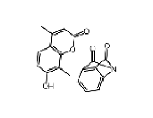 Cc1cc(=O)oc2c(C)c(O)ccc12.O=C1c2cccc3c2C(=O)N13